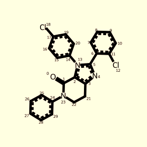 O=C1c2c(nc(-c3ccccc3Cl)n2-c2ccc(Cl)cc2)CCN1c1ccccc1